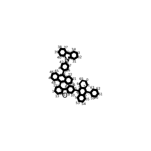 C1=Cc2c(c(-c3ccc4c(c3)oc3cccc(-c5c6ccccc6c(-c6ccc(-n7c8ccccc8c8ccccc87)cc6)c6ccccc56)c34)c3ccccc3c2-c2ccccc2)CC1